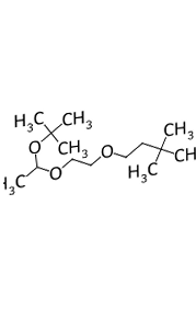 CC(OCCOCCC(C)(C)C)OC(C)(C)C